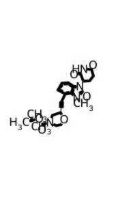 Cn1c(=O)n(C2CCC(=O)NC2=O)c2cccc(C#C[C@H]3CN(C(=O)OC(C)(C)C)CCO3)c21